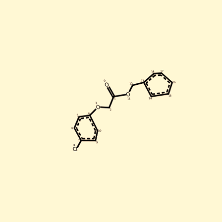 O=C(COc1[c]cc(Cl)cc1)OCc1ccccc1